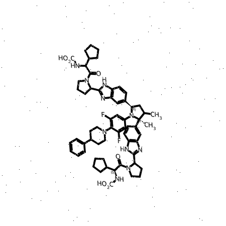 CC1C[C@H](c2ccc3[nH]c(C4CCCN4C(=O)C(NC(=O)O)C4CCCC4)nc3c2)N(c2cc(F)c(N3CCC(c4ccccc4)CC3)c(F)c2)[C@]1(C)c1ccc2[nH]c(C3CCCN3C(=O)[C@@H](NC(=O)O)C3CCCC3)nc2c1